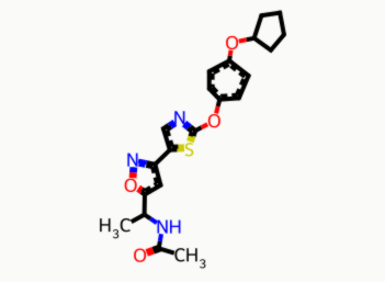 CC(=O)NC(C)c1cc(-c2cnc(Oc3ccc(OC4CCCC4)cc3)s2)no1